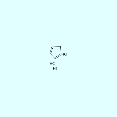 C1=CCC=C1.Cl.Cl.[Hf]